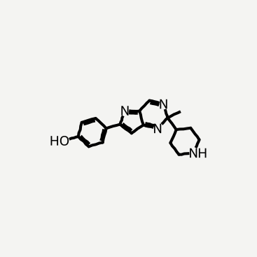 CC1(C2CCNCC2)N=CC2=NC(c3ccc(O)cc3)=CC2=N1